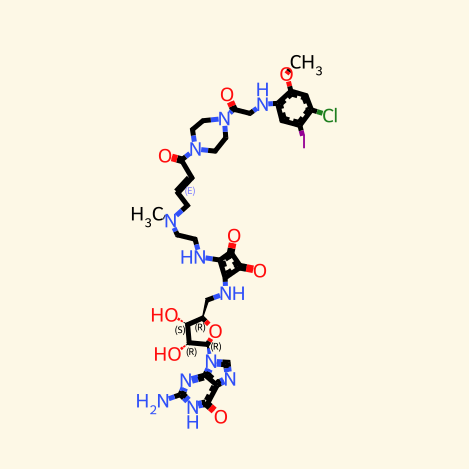 COc1cc(Cl)c(I)cc1NCC(=O)N1CCN(C(=O)/C=C/CN(C)CCNc2c(NC[C@H]3O[C@@H](n4cnc5c(=O)[nH]c(N)nc54)[C@H](O)[C@@H]3O)c(=O)c2=O)CC1